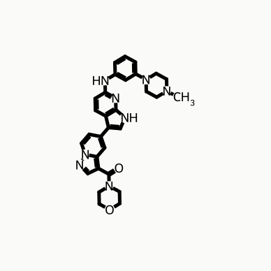 CN1CCN(c2cccc(Nc3ccc4c(-c5ccn6ncc(C(=O)N7CCOCC7)c6c5)c[nH]c4n3)c2)CC1